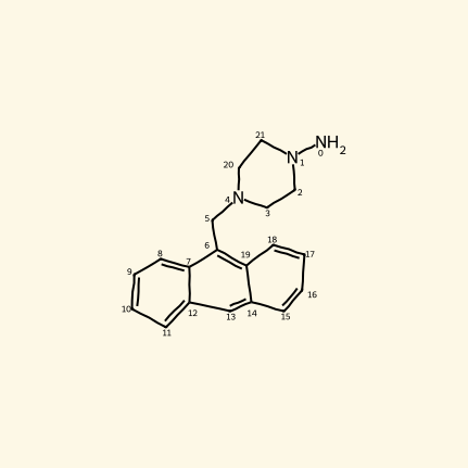 NN1CCN(Cc2c3ccccc3cc3ccccc23)CC1